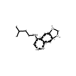 CC(C)CCNc1cnnc2cc3c(cc12)OCO3